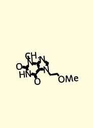 COCCn1cnc2c1c(=O)[nH]c(=O)n2C